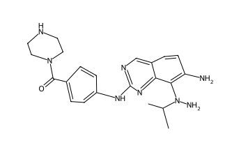 CC(C)N(N)c1c(N)ccc2cnc(Nc3ccc(C(=O)N4CCNCC4)cc3)nc12